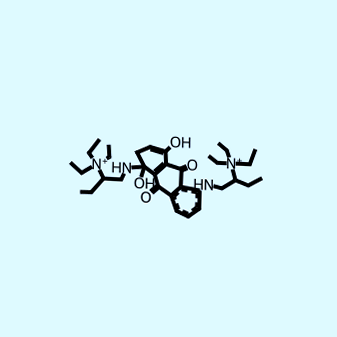 CCC(CNc1cccc2c1C(=O)C1=C(C2=O)C(O)(NCC(CC)[N+](CC)(CC)CC)CC=C1O)[N+](CC)(CC)CC